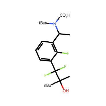 CCCCC(C)(O)C(F)(F)c1cccc(C(C)N(C(=O)O)C(C)(C)C)c1F